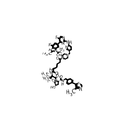 Cc1ncsc1-c1ccc(CNC(=O)[C@@H]2C[C@@H](O)CN2C(=O)C(NC(=O)CCCCC(=O)N2CCN(Cc3ccc(Nc4ncc(F)c(-c5cc(F)c6nc(C)n(C(C)C)c6c5)n4)nc3)CC2)C(C)(C)C)cc1